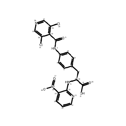 O=C(Nc1ccc(C[C@H](Nc2ncccc2[N+](=O)[O-])C(=O)O)cc1)c1c(Cl)cncc1Cl